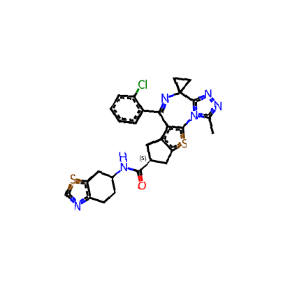 Cc1nnc2n1-c1sc3c(c1C(c1ccccc1Cl)=NC21CC1)C[C@H](C(=O)NC1CCc2ncsc2C1)C3